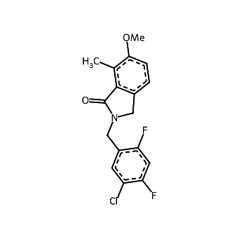 COc1ccc2c(c1C)C(=O)N(Cc1cc(Cl)c(F)cc1F)C2